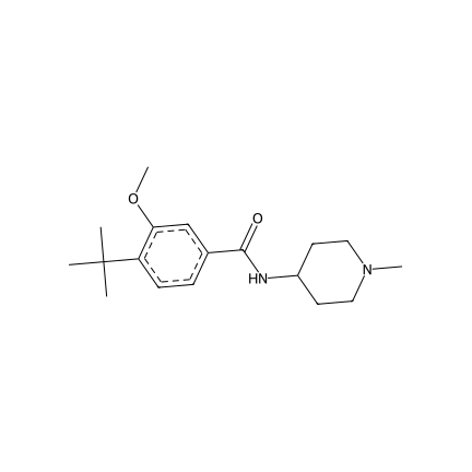 COc1cc(C(=O)NC2CCN(C)CC2)ccc1C(C)(C)C